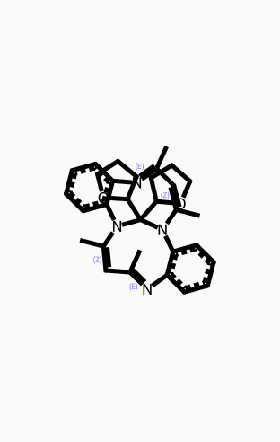 C/C1=C/C(C)=N/c2ccccc2N2/C(C)=C\C(C)=N\c3ccccc3N1C2(C1CCCO1)C1CCCO1